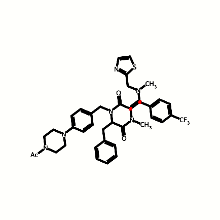 CC(=O)N1CCN(c2ccc(CN(C(=O)C=Cc3ccc(C(F)(F)F)cc3)C(Cc3ccccc3)C(=O)N(C)CCN(C)Cc3nccs3)cc2)CC1